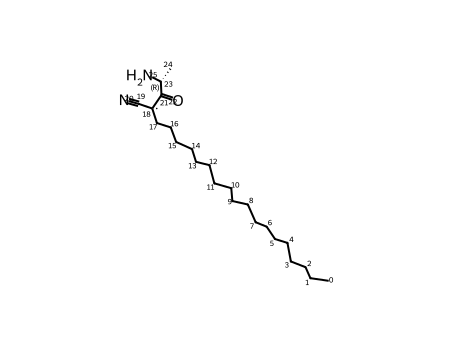 CCCCCCCCCCCCCCCCCC[C](C#N)C(=O)[C@@H](C)N